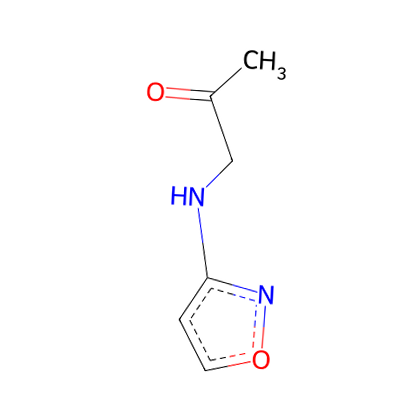 CC(=O)CNc1ccon1